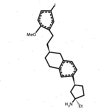 CC[C@@]1(N)CC[C@H](c2ccc3c(c2)CC[C@@H](CCc2cc(I)ccc2OC)C3)C1